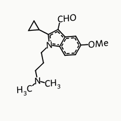 COc1ccc2c(c1)c(C=O)c(C1CC1)n2CCCN(C)C